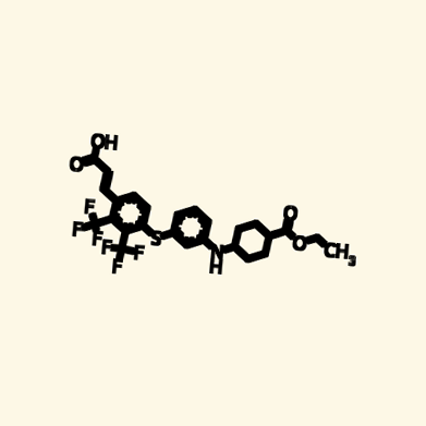 CCOC(=O)C1CCC(Nc2cccc(Sc3ccc(C=CC(=O)O)c(C(F)(F)F)c3C(F)(F)F)c2)CC1